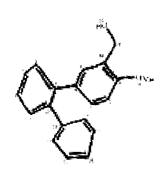 COc1ccc(-c2ccccc2-c2ccccc2)cc1CO